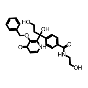 O=C(NCCO)c1ccc(C(O)(CCO)c2[nH]ccc(=O)c2OCc2ccccc2)cc1